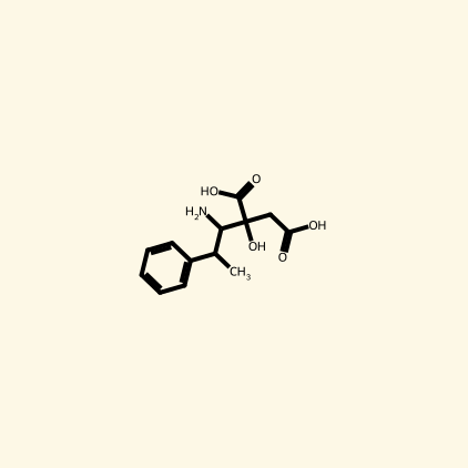 CC(c1ccccc1)C(N)C(O)(CC(=O)O)C(=O)O